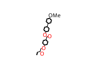 C=CC(=O)COc1ccc(C(=O)Oc2ccc(-c3ccc(OC)cc3)cc2)cc1